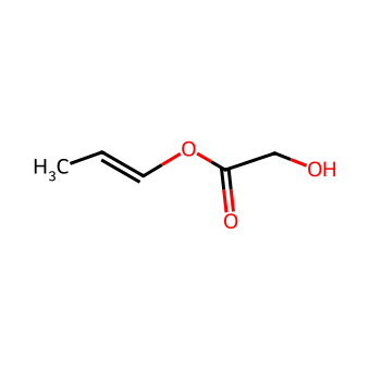 CC=COC(=O)CO